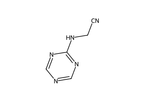 N#CCNc1ncncn1